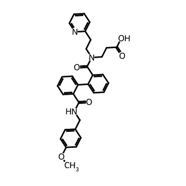 COc1ccc(CNC(=O)c2ccccc2-c2ccccc2C(=O)N(CCC(=O)O)CCc2ccccn2)cc1